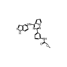 COCC(=O)Nc1cccc(-c2nc(Nc3ccc4[nH]ncc4c3)c3cccn3n2)c1